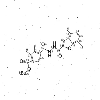 Cc1c(C(=O)NNC(=O)c2cc3c(C)ccc(C)c3o2)ccc(C(=O)OC(C)(C)C)c1C